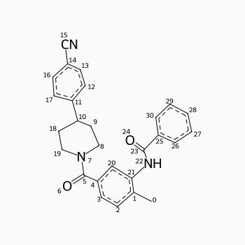 Cc1ccc(C(=O)N2CCC(c3ccc(C#N)cc3)CC2)cc1NC(=O)c1ccccc1